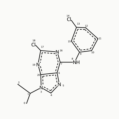 CC(C)n1cnc2c(Nc3cccc(Cl)c3)nc(Cl)nc21